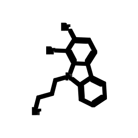 BrCCCn1c2ccccc2c2ccc(Br)c(Br)c21